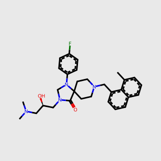 Cc1cccc2cccc(CN3CCC4(CC3)C(=O)N(C[C@H](O)CN(C)C)CN4c3ccc(F)cc3)c12